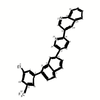 CCc1cc(-c2ccc3ccc(-c4ccc(-c5cnc6ccccc6c5)nc4)cc3c2)cc(C(F)(F)F)c1